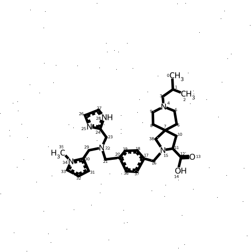 CC(C)CN1CCC2(CC1)CC(C(=O)O)N(Cc1ccc(CN(Cc3ncc[nH]3)Cc3cccn3C)cc1)C2